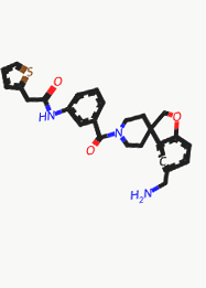 NCc1ccc2c(c1)C1(CCN(C(=O)c3cccc(NC(=O)Cc4cccs4)c3)CC1)CO2